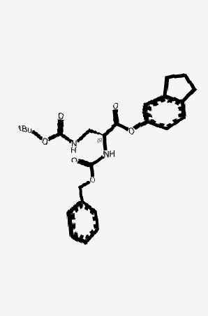 CC(C)(C)OC(=O)NC[C@H](NC(=O)OCc1ccccc1)C(=O)Oc1ccc2c(c1)CCC2